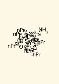 CCC[Si]12O[Si]3(CCC)O[Si]4(CCC)O[Si](CCC)(O1)O[Si]1(CCC)O[Si](CCC)(O2)O[Si](CCC)(O3)O[Si](CCN)(O4)O1